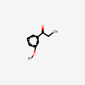 CC(C)Oc1cccc(C(=O)CC#N)c1